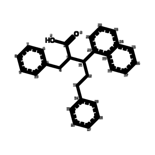 O=C(O)C(Cc1ccccc1)C(CCc1ccccc1)c1cccc2ccccc12